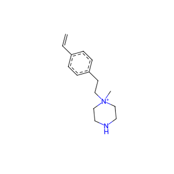 C=Cc1ccc(CC[N+]2(C)CCNCC2)cc1